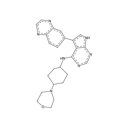 c1cnc2cc(-c3c[nH]c4ncnc(NC5CCC(N6CCOCC6)CC5)c34)ccc2n1